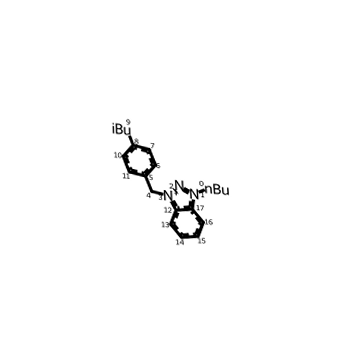 CCCCn1n[n+](Cc2ccc(C(C)CC)cc2)c2ccccc21